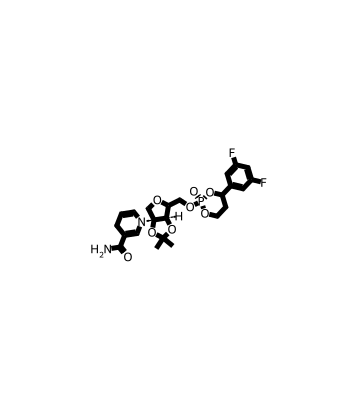 CC1(C)O[C@@H]2C(COP3(=O)OCCC(c4cc(F)cc(F)c4)O3)OC[C@]2(N2C=CCC(C(N)=O)=C2)O1